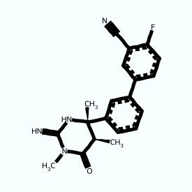 C[C@H]1C(=O)N(C)C(=N)N[C@]1(C)c1cccc(-c2ccc(F)c(C#N)c2)c1